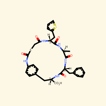 C[C@@H]1NC(=O)[C@@H](Cc2cccs2)NC(=O)CCC(=O)Nc2ccc(cc2)C[C@@H](C(=O)O)NC(=O)[C@@H](Cc2ccccc2)NC1=O